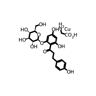 NCC(=O)O.O=C(CCc1ccc(O)cc1)c1c(O)cc(O)cc1O[C@@H]1O[C@H](CO)[C@@H](O)[C@H](O)[C@H]1O.[Cu]